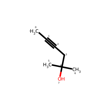 [CH2]C#CCC(C)(C)O